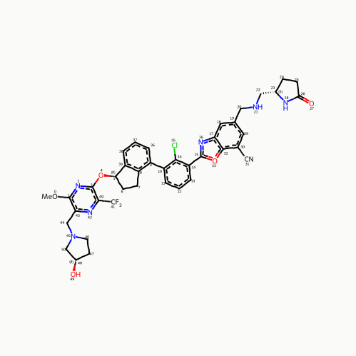 COc1nc(O[C@@H]2CCc3c(-c4cccc(-c5nc6cc(CNC[C@@H]7CCC(=O)N7)cc(C#N)c6o5)c4Cl)cccc32)c(C(F)(F)F)nc1CN1CC[C@@H](O)C1